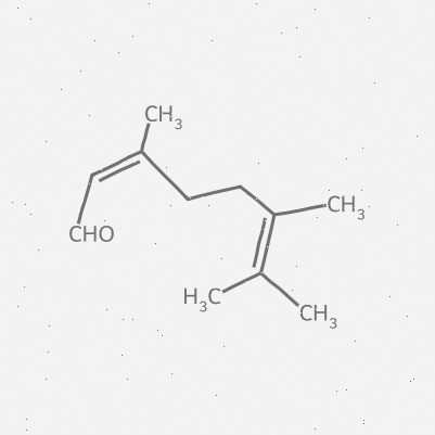 CC(=CC=O)CCC(C)=C(C)C